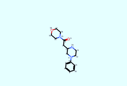 O=C(CC1CN(c2ccccc2)CC[N]1)N1CCOCC1